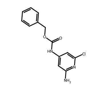 Nc1cc(NC(=O)OCc2ccccc2)cc(Cl)n1